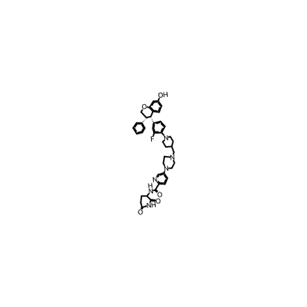 O=C1CCC(NC(=O)c2ccc(N3CCN(CC4CCN(c5ccc([C@H]6c7ccc(O)cc7OC[C@H]6c6ccccc6)cc5F)CC4)CC3)cn2)C(=O)N1